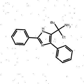 CCC(C)C(N)(CC)c1[nH]c(-c2ccccc2)nc1-c1ccccc1